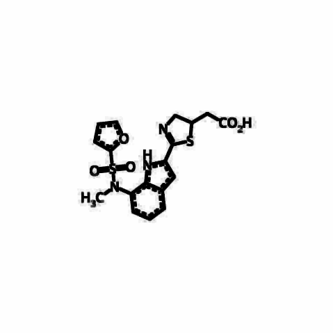 CN(c1cccc2cc(C3=NCC(CC(=O)O)S3)[nH]c12)S(=O)(=O)c1ccco1